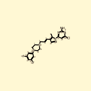 Cc1c(C=CCN2CCN(c3cc(F)cc(F)c3)CC2)cnn1-c1cc(Cl)nc(N)n1